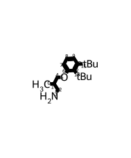 CC(CN)COc1cccc(C(C)(C)C)c1C(C)(C)C